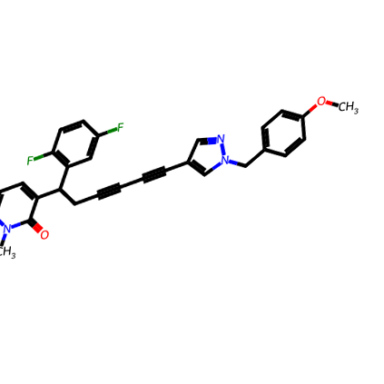 COc1ccc(Cn2cc(C#CC#CCC(c3cc(F)ccc3F)c3cccn(C)c3=O)cn2)cc1